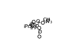 Cc1cc(C(=O)c2c(-c3ccccc3O[Si](C(C)C)(C(C)C)C(C)C)sc3cc(OCc4ccccc4)ccc23)ccc1CN1CCCC1